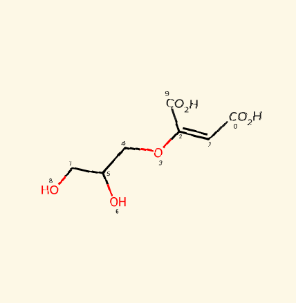 O=C(O)/C=C(/OCC(O)CO)C(=O)O